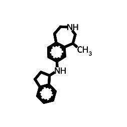 CC1CNCCc2ccc(NC3CCc4ccccc43)cc21